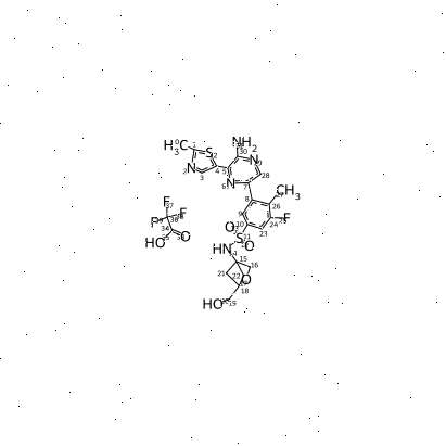 Cc1ncc(-c2nc(-c3cc(S(=O)(=O)NC45COC(CO)(C4)C5)cc(F)c3C)cnc2N)s1.O=C(O)C(F)(F)F